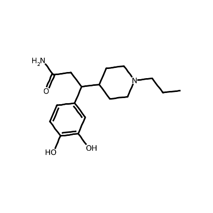 CCCN1CCC(C(CC(N)=O)c2ccc(O)c(O)c2)CC1